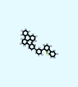 c1cc(-c2ccc3c(c2)c2cccc4c5ccccc5c5cccc3c5c42)cc(-c2cccc3c2sc2ccccc23)c1